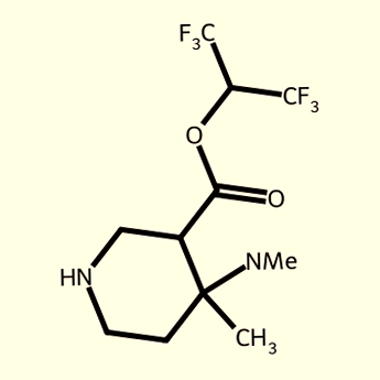 CNC1(C)CCNCC1C(=O)OC(C(F)(F)F)C(F)(F)F